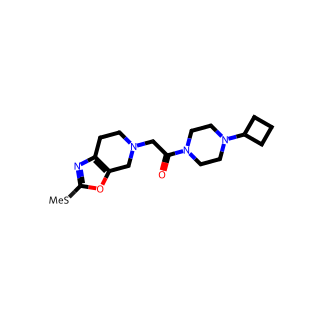 CSc1nc2c(o1)CN(CC(=O)N1CCN(C3CCC3)CC1)CC2